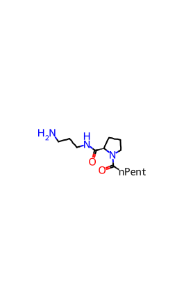 CCCCCC(=O)N1CCC[C@@H]1C(=O)NCCCN